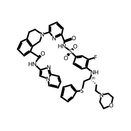 O=C(NS(=O)(=O)c1ccc(N[C@H](CCN2CCOCC2)CSc2ccccc2)c(F)c1)c1cccc(N2CCc3cccc(C(=O)Nc4cn5ccccc5n4)c3C2)n1